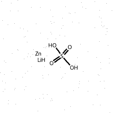 O=S(=O)(O)O.[LiH].[Zn]